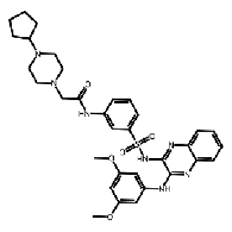 COc1cc(Nc2nc3ccccc3nc2NS(=O)(=O)c2cccc(NC(=O)CN3CCN(C4CCCC4)CC3)c2)cc(OC)c1